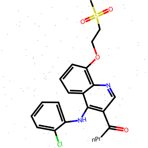 CCCC(=O)c1cnc2c(OCCS(C)(=O)=O)cccc2c1Nc1ccccc1Cl